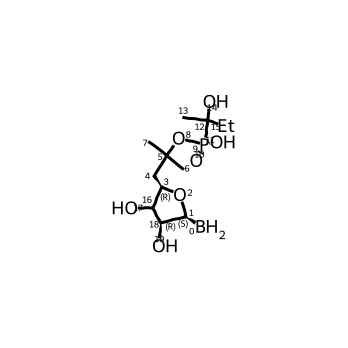 B[C@@H]1O[C@H](CC(C)(C)OP(=O)(O)C(C)(O)CC)C(O)[C@@H]1O